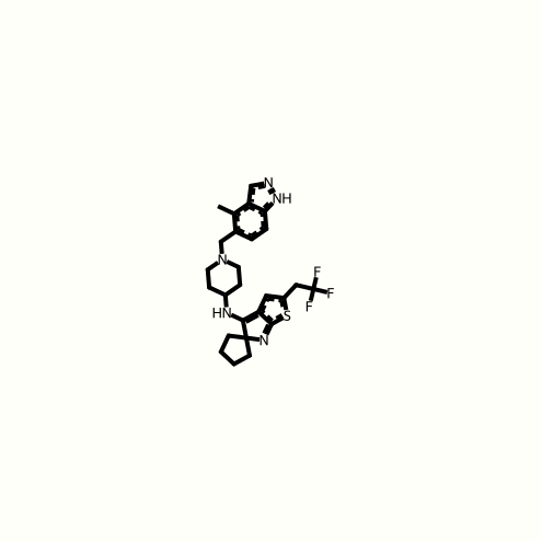 Cc1c(CN2CCC(NC3=c4cc(CC(F)(F)F)sc4=NC34CCCC4)CC2)ccc2[nH]ncc12